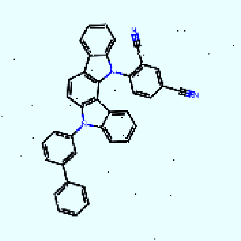 N#Cc1ccc(-n2c3ccccc3c3ccc4c(c5ccccc5n4-c4cccc(-c5ccccc5)c4)c32)c(C#N)c1